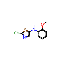 COc1ccccc1Nc1cnc(Cl)s1